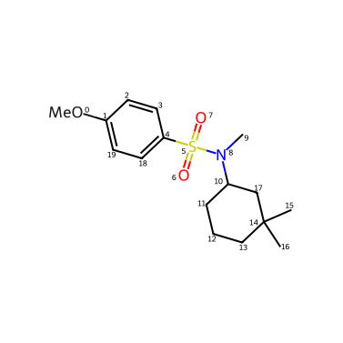 COc1ccc(S(=O)(=O)N(C)C2CCCC(C)(C)C2)cc1